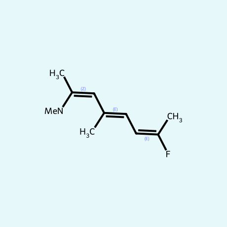 CN\C(C)=C/C(C)=C/C=C(\C)F